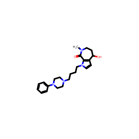 CN1CCC(O)c2ccn(CCCCN3CCN(c4ccccc4)CC3)c2C1=O